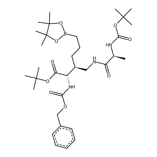 C[C@H](NC(=O)OC(C)(C)C)C(=O)NC[C@H](CCCB1OC(C)(C)C(C)(C)O1)[C@H](NC(=O)OCc1ccccc1)C(=O)OC(C)(C)C